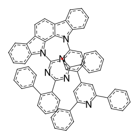 c1ccc(-c2cc(-c3ccc(-n4c5ccccc5c5ccc6c7ccccc7n(-c7nc(-c8ccccc8)nc(-c8ccccc8-c8ccccc8)n7)c6c54)cc3)cc(-c3ccccc3)n2)cc1